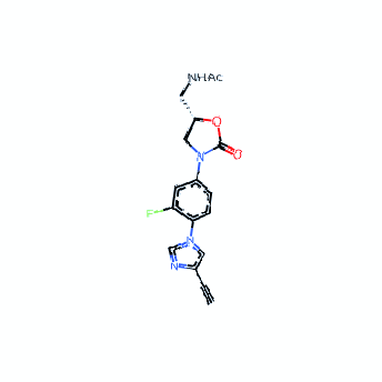 C#Cc1cn(-c2ccc(N3C[C@H](CNC(C)=O)OC3=O)cc2F)cn1